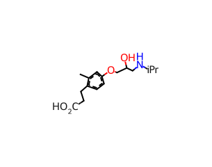 Cc1cc(OCC(O)CNC(C)C)ccc1CCC(=O)O